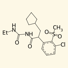 CCNC(=O)NC(=O)C(CC1CCCC1)c1cccc(Cl)c1S(C)(=O)=O